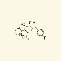 CN1CCCC(C=O)C1N1CCC(Cc2ccc(F)cc2)CC1.Cl